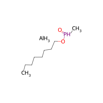 CCCCCCCCO[PH](=O)CC.[AlH3]